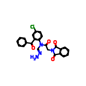 NN=CN(C(=O)CN1C(=O)c2ccccc2C1=O)c1ccc(Cl)cc1C(=O)c1ccccc1